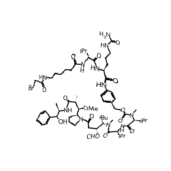 CC[C@H](C)[C@@H]([C@H](C=O)CC(=O)N1CCC[C@H]1[C@H](OC)[C@@H](C)C(=O)N[C@H](C)[C@@H](O)c1ccccc1)N(C)C(=O)[C@@H](NC(=O)[C@H](C(C)C)N(C)C(=O)OCc1ccc(NC(=O)[C@H](CCCNC(N)=O)NC(=O)[C@@H](NC(=O)CCCCCNC(=O)CBr)C(C)C)cc1)C(C)C